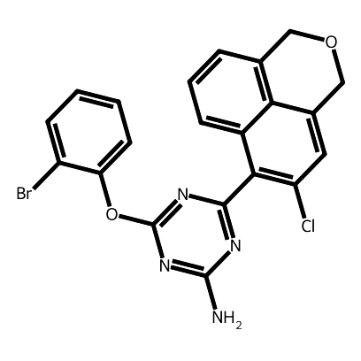 Nc1nc(Oc2ccccc2Br)nc(-c2c(Cl)cc3c4c(cccc24)COC3)n1